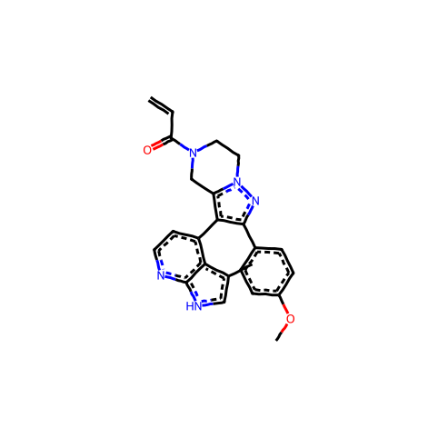 C=CC(=O)N1CCn2nc(-c3ccc(OC)cc3)c(-c3ccnc4[nH]cc(C)c34)c2C1